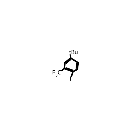 CC(C)(C)c1ccc(I)c(C(F)(F)F)c1